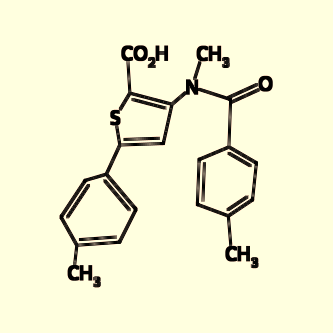 Cc1ccc(C(=O)N(C)c2cc(-c3ccc(C)cc3)sc2C(=O)O)cc1